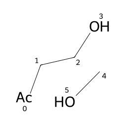 CC(=O)CCO.CO